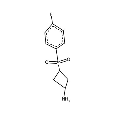 NC1CC(S(=O)(=O)c2ccc(F)cc2)C1